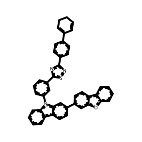 C1=CC(c2ccc(-c3nsc(-c4cccc(-n5c6ccccc6c6ccc(-c7ccc8c(c7)oc7ccccc78)cc65)c4)n3)cc2)=CCC1